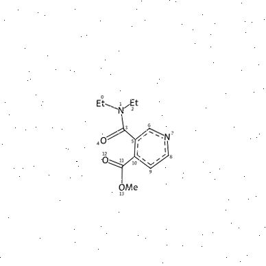 CCN(CC)C(=O)c1cnccc1C(=O)OC